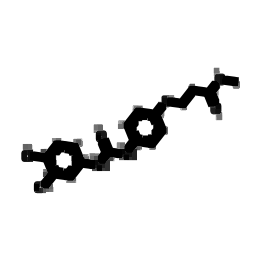 COC(=O)CCSc1ccc(NC(=O)Nc2ccc(Cl)c(Cl)c2)cc1